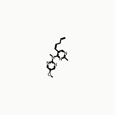 C=CC/C=C\c1cnc(C)nc1N(C)c1ncc(OC)cn1